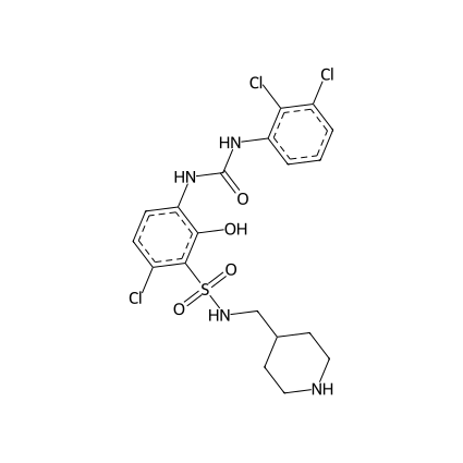 O=C(Nc1ccc(Cl)c(S(=O)(=O)NCC2CCNCC2)c1O)Nc1cccc(Cl)c1Cl